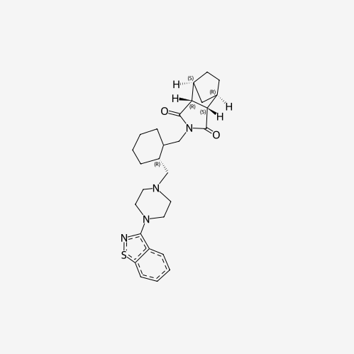 O=C1[C@@H]2[C@H]3CC[C@H](C3)[C@@H]2C(=O)N1CC1CCCC[C@H]1CN1CCN(c2nsc3ccccc23)CC1